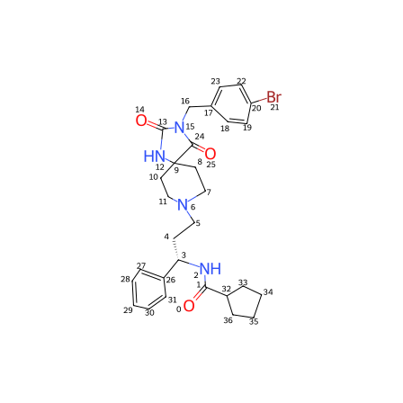 O=C(N[C@@H](CCN1CCC2(CC1)NC(=O)N(Cc1ccc(Br)cc1)C2=O)c1ccccc1)C1CCCC1